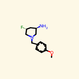 COc1ccc(CN2C[C@H](N)C[C@@H](F)C2)cc1